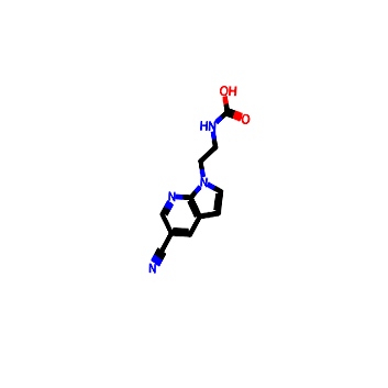 N#Cc1cnc2c(ccn2CCNC(=O)O)c1